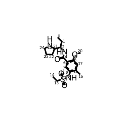 CCC(NC(=O)c1cc(NS(=O)(=O)CC)c(C)cc1OC)C1CCCN1